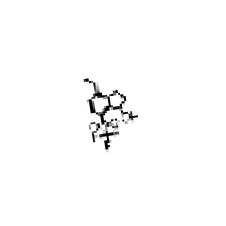 CCc1ccc(S(=O)(=O)C(F)(F)F)c2c1CCC2O